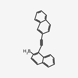 Bc1ccc2ccccc2c1C#Cc1ccc2ccccc2c1